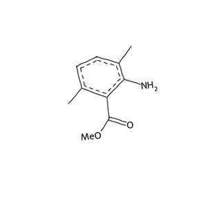 COC(=O)c1c(C)ccc(C)c1N